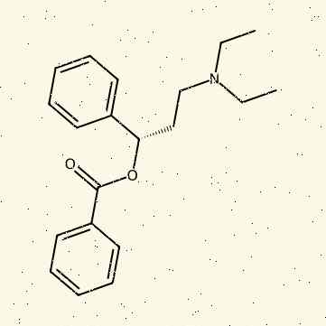 CCN(CC)CC[C@H](OC(=O)c1ccccc1)c1ccccc1